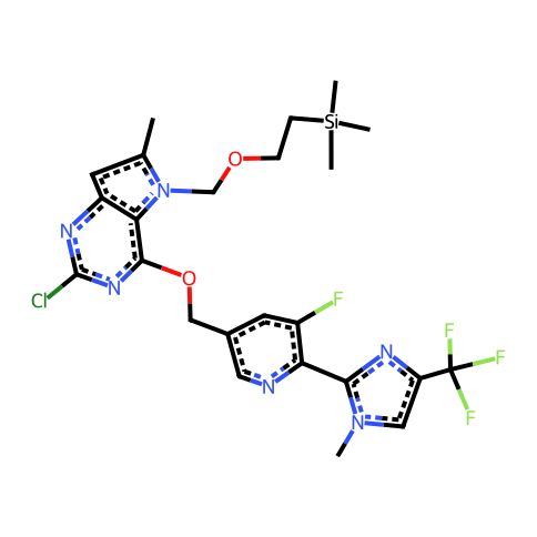 Cc1cc2nc(Cl)nc(OCc3cnc(-c4nc(C(F)(F)F)cn4C)c(F)c3)c2n1COCC[Si](C)(C)C